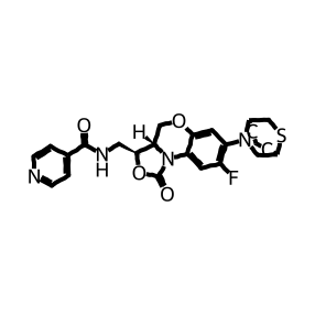 O=C(NC[C@@H]1OC(=O)N2c3cc(F)c(N4CC5CCCC4CS5)cc3OC[C@@H]12)c1ccncc1